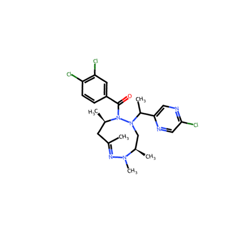 C/C1=N\N(C)[C@H](C)CN(C(C)c2cnc(Cl)cn2)N(C(=O)c2ccc(Cl)c(Cl)c2)[C@H](C)C1